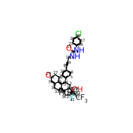 C[C@]12C[C@H](c3ccc(C#CCNC(=O)Nc4ccc(Cl)cc4)cc3)C3=C4CCC(=O)C=C4CC[C@H]3[C@@H]1CC[C@@]2(O)C(F)(F)C(F)(F)F